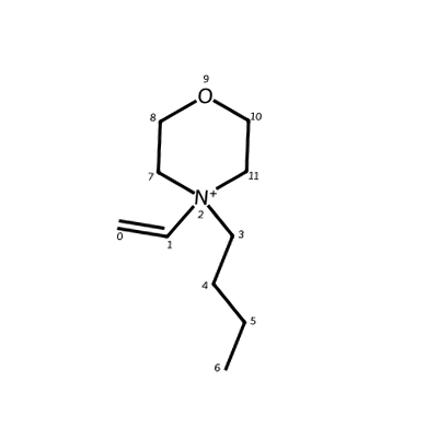 C=C[N+]1(CCCC)CCOCC1